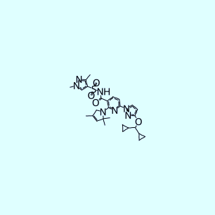 CC1=CC(C)(C)N(c2nc(-n3ccc(OC(C4CC4)C4CC4)n3)ccc2C(=O)NS(=O)(=O)c2cn(C)nc2C)C1